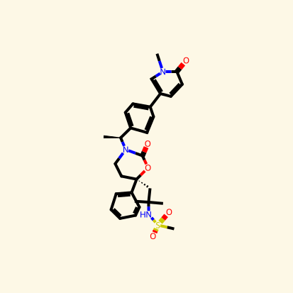 C[C@@H](c1ccc(-c2ccc(=O)n(C)c2)cc1)N1CC[C@](CC(C)(C)NS(C)(=O)=O)(c2ccccc2)OC1=O